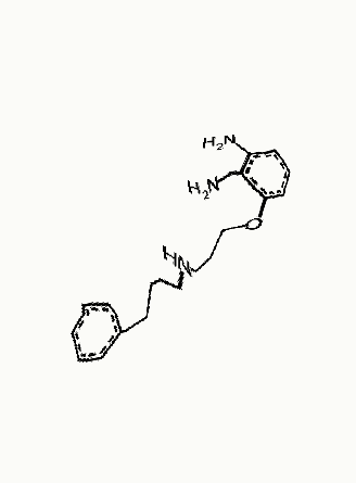 Nc1cccc(OCCNCCCc2ccccc2)c1N